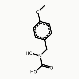 COc1ccc(CN(O)C(=O)O)cc1